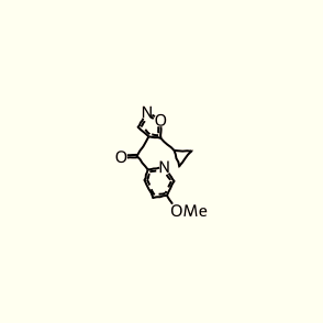 COc1ccc(C(=O)c2cnoc2C2CC2)nc1